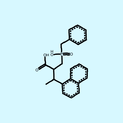 CC(c1cccc2ccccc12)C(CP(=O)(O)Cc1ccccc1)C(=O)O